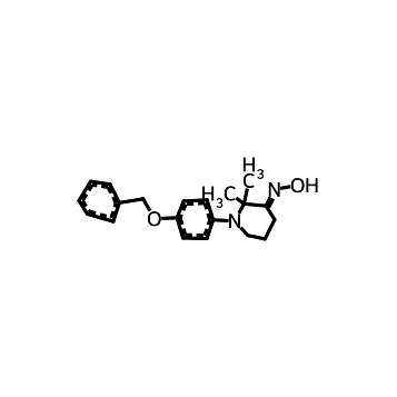 CC1(C)C(=NO)CCCN1c1ccc(OCc2ccccc2)cc1